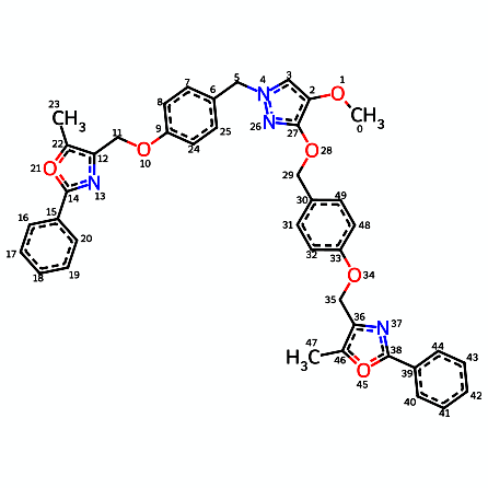 COc1cn(Cc2ccc(OCc3nc(-c4ccccc4)oc3C)cc2)nc1OCc1ccc(OCc2nc(-c3ccccc3)oc2C)cc1